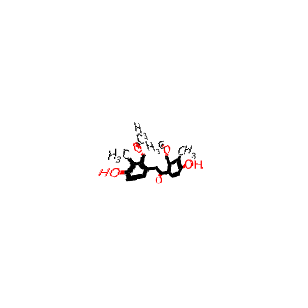 COCc1c(CC(=O)c2ccc(O)c(C)c2COC)ccc(O)c1C